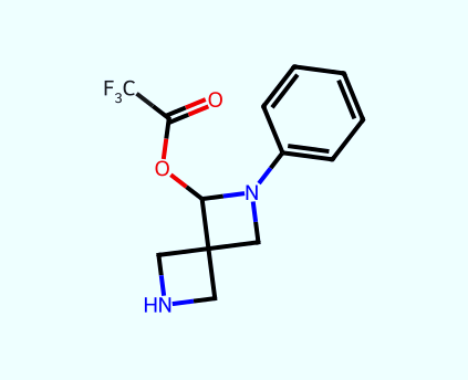 O=C(OC1N(c2ccccc2)CC12CNC2)C(F)(F)F